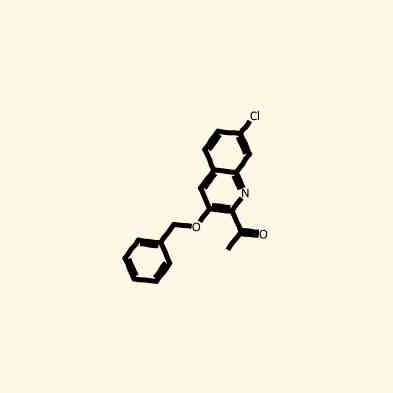 CC(=O)c1nc2cc(Cl)ccc2cc1OCc1ccccc1